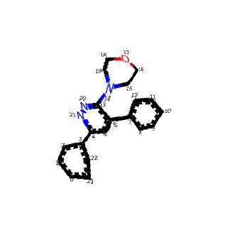 c1ccc(-c2cc(-c3ccccc3)c(N3CCOCC3)nn2)cc1